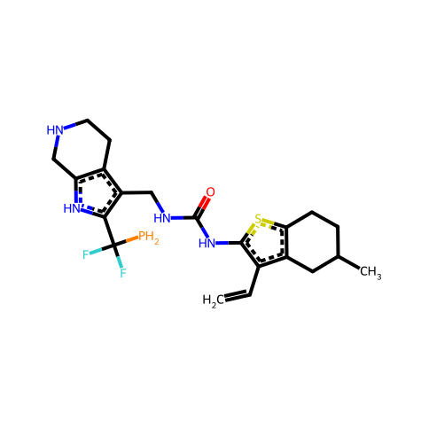 C=Cc1c(NC(=O)NCc2c(C(F)(F)P)[nH]c3c2CCNC3)sc2c1CC(C)CC2